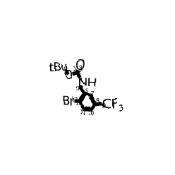 CC(C)(C)OC(=O)NCc1cc(C(F)(F)F)ccc1Br